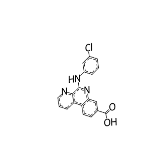 O=C(O)c1ccc2c(c1)nc(Nc1cccc(Cl)c1)c1ncccc12